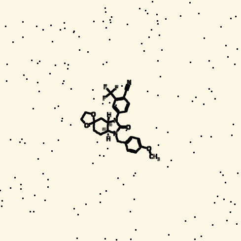 COc1ccc(CN2C(=O)N(c3ccc(C#N)c(C(F)(F)F)c3)[C@H]3CC4(CC[C@@H]32)OCCO4)cc1